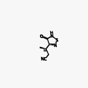 C[C@H](CC#N)c1ns[nH]c1=O